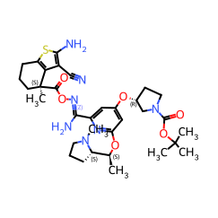 C[C@H](Oc1cc(O[C@@H]2CCN(C(=O)OC(C)(C)C)C2)cc(/C(N)=N/OC(=O)[C@@]2(C)CCCc3sc(N)c(C#N)c32)n1)[C@@H]1CCCN1C